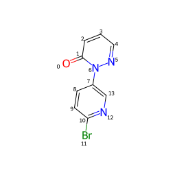 O=c1cccnn1-c1ccc(Br)nc1